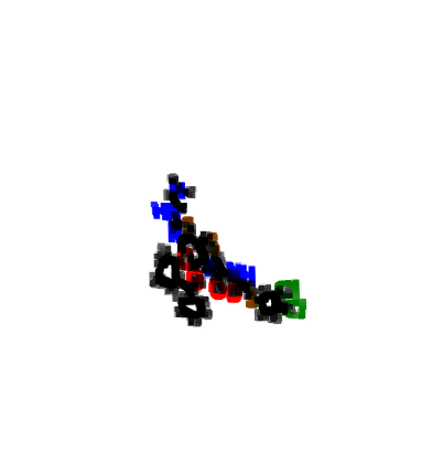 CN(C)CCNc1ncc(C2=C(C(=O)OC(c3ccccc3)c3ccccc3)N3C(=O)C(NC(=O)CSc4ccc(Cl)c(Cl)c4)C3SC2)s1